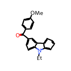 CCn1c2ccccc2c2cc(C(=O)c3ccc(OC)cc3)ccc21